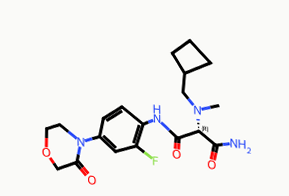 CN(CC1CCC1)[C@H](C(N)=O)C(=O)Nc1ccc(N2CCOCC2=O)cc1F